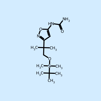 CC(C)(CO[Si](C)(C)C(C)(C)C)c1cc(NC(N)=O)on1